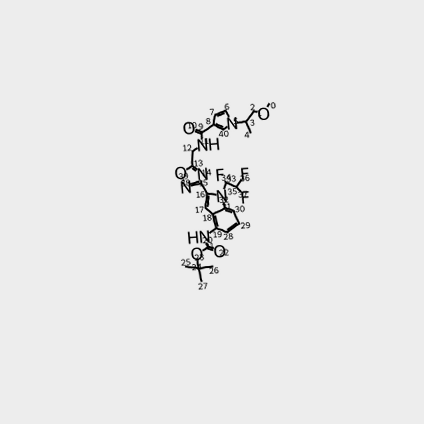 COCC(C)n1ccc(C(=O)NCc2nc(-c3cc4c(NC(=O)OC(C)(C)C)cccc4n3C(F)C(F)F)no2)c1